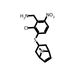 CN1C2C=CC1CC(Sc1ccc([N+](=O)[O-])c(CN)c1Cl)C2